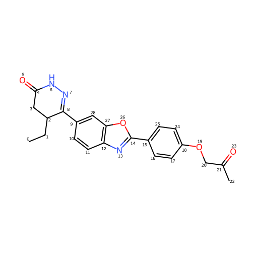 CCC1CC(=O)NN=C1c1ccc2nc(-c3ccc(OCC(C)=O)cc3)oc2c1